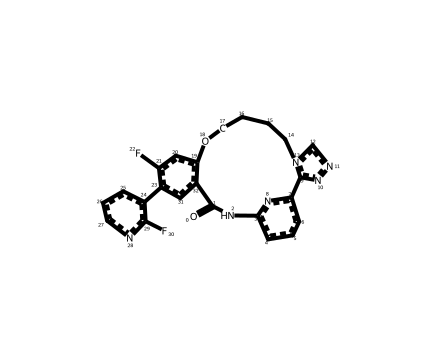 O=C1Nc2cccc(n2)-c2nncn2CCCCOc2cc(F)c(-c3cccnc3F)cc21